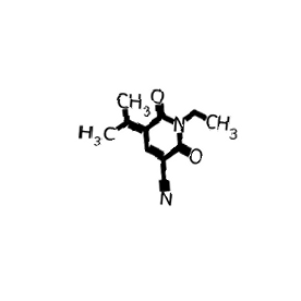 CCN1C(=O)C(C#N)=CC(=C(C)C)C1=O